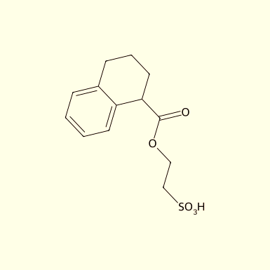 O=C(OCCS(=O)(=O)O)C1CCCc2ccccc21